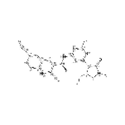 CC[C@H]1CN(C)C(=O)N1c1nc(C)nc(N[C@@H](C)c2cc3cc(C#N)ccc3[nH]c2=O)n1